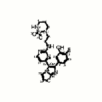 O=S1(=O)NCCCN1CCNc1nccc(-c2c(-c3ccc(F)c(O)c3)nc3occn23)n1